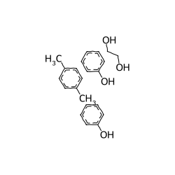 Cc1ccc(C)cc1.OCCO.Oc1ccccc1.Oc1ccccc1